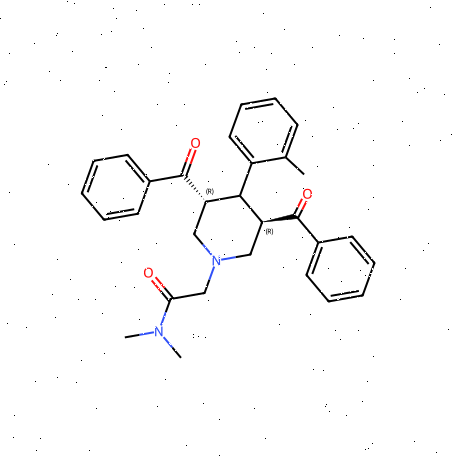 Cc1ccccc1C1[C@@H](C(=O)c2ccccc2)CN(CC(=O)N(C)C)C[C@@H]1C(=O)c1ccccc1